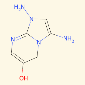 NC1=CN(N)C2=NC=C(O)CN12